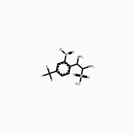 CS(=O)(=O)C(N)C(N)c1ccc(C(F)(F)F)cc1[N+](=O)[O-]